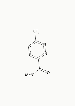 CNC(=O)c1ccc(C(F)(F)F)nn1